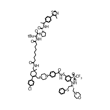 Cc1ncsc1-c1ccc([C@H](C)NC(=O)[C@@H]2CCCN2C(=O)[C@@H](NC(=O)CCCCCCCC(=O)NCC2(C)CCC(c3ccc(Cl)cc3)=C(CN3CCN(c4ccc(C(=O)NSc5ccc(N[C@H](CCN6CCOCC6)CSc6ccccc6)c(S(=O)(=O)C(F)(F)F)c5)cc4)CC3)C2)C(C)(C)C)cc1